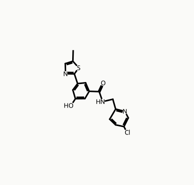 Cc1cnc(-c2cc(O)cc(C(=O)NCc3ccc(Cl)cn3)c2)s1